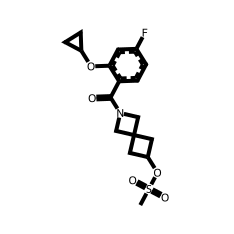 CS(=O)(=O)OC1CC2(C1)CN(C(=O)c1ccc(F)cc1OC1CC1)C2